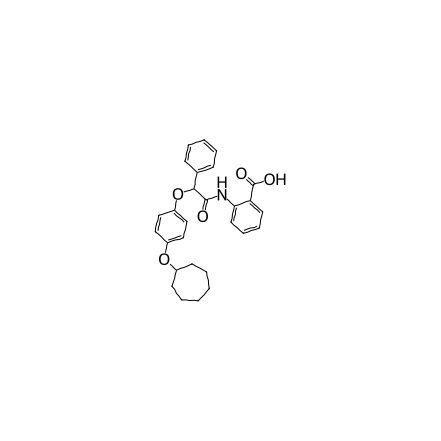 O=C(O)c1ccccc1NC(=O)C(Oc1ccc(OC2CCCCCC2)cc1)c1ccccc1